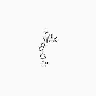 N#CC1(NC(O)C2(NC(=O)c3cc4ccc(-c5ccc(C(O)CO)cc5)cc4o3)CCC(F)(F)CC2)CC1